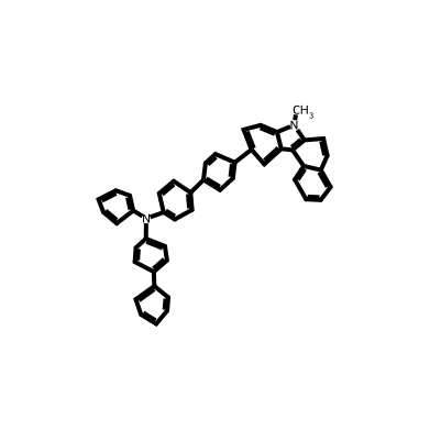 Cn1c2ccc(-c3ccc(-c4ccc(N(c5ccccc5)c5ccc(-c6ccccc6)cc5)cc4)cc3)cc2c2c3ccccc3ccc21